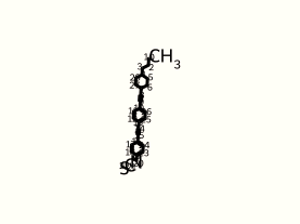 CCCCC1CCC(C#Cc2ccc(C#Cc3ccc(N=C=S)cc3)cc2)CC1